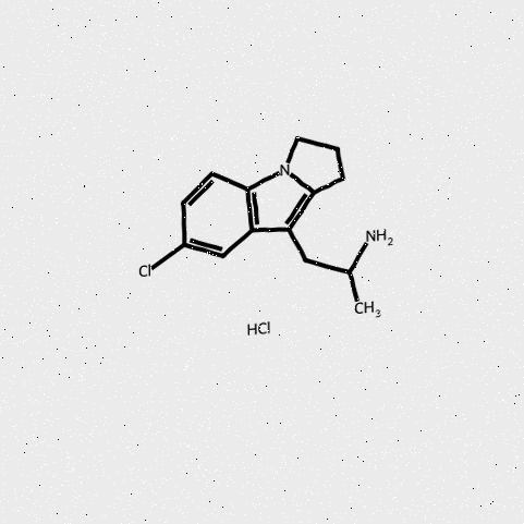 CC(N)Cc1c2n(c3ccc(Cl)cc13)CCC2.Cl